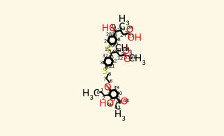 CCCc1c(OCCCSc2ccc(C(Sc3ccc(C(O)C(C)CC(=O)O)cc3)C(C)CC(=O)OC)cc2)ccc(C(C)=O)c1O